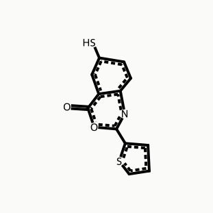 O=c1oc(-c2cccs2)nc2ccc(S)cc12